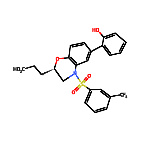 O=C(O)CC[C@H]1CN(S(=O)(=O)c2cccc(C(F)(F)F)c2)c2cc(-c3ccccc3O)ccc2O1